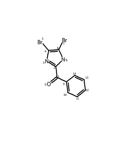 O=C(C1=NC(Br)=C(Br)[N]1)c1ccccc1